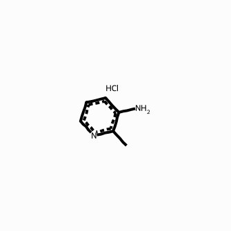 Cc1ncccc1N.Cl